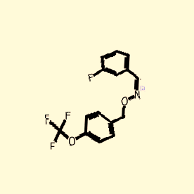 Fc1cccc(/[C]=N\OCc2ccc(OC(F)(F)F)cc2)c1